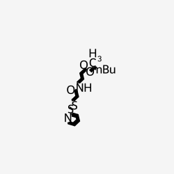 CCCCC(C)OC(=O)CCCNC(=O)CCSSc1ccccn1